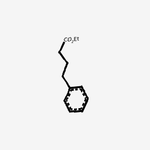 CCOC(=O)CCCc1ccccc1